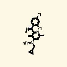 CCCN(CC1CC1)c1cc(C)nc(/C(=N\C)c2ccc(Cl)cc2Cl)c1C